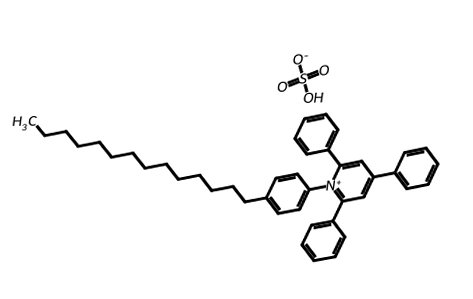 CCCCCCCCCCCCCCc1ccc(-[n+]2c(-c3ccccc3)cc(-c3ccccc3)cc2-c2ccccc2)cc1.O=S(=O)([O-])O